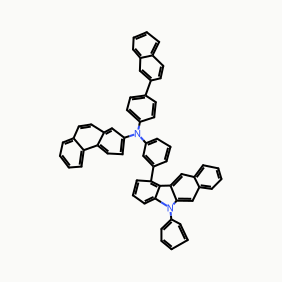 c1ccc(-n2c3cc4ccccc4cc3c3c(-c4cccc(N(c5ccc(-c6ccc7ccccc7c6)cc5)c5ccc6c(ccc7ccccc76)c5)c4)cccc32)cc1